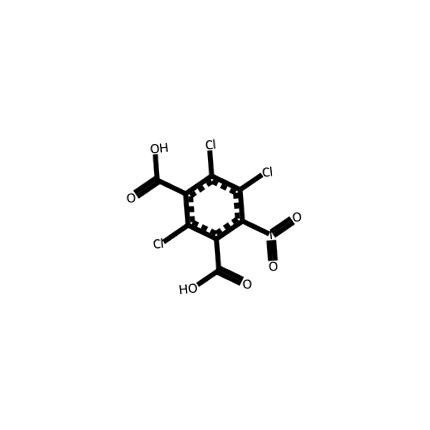 O=C(O)c1c(Cl)c(Cl)c(I(=O)=O)c(C(=O)O)c1Cl